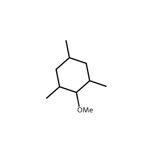 COC1C(C)CC(C)CC1C